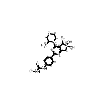 CCNC(=O)Nc1ccc(-c2nc3c(c(N4CCOCC4C)n2)C(CC)S(O)(O)C3)cc1